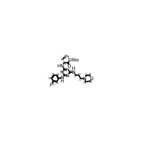 COC(=O)[C@@H](CC(C)C)Nc1nc(NCCCN2CCOCC2)nc(Nc2cccc(F)c2)n1